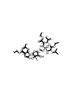 CCOC(=O)[C@H](CC(C)C)NP(=O)(N[C@H](CC(C)C)C(=O)OCC)OC[C@H]1O[C@@H](n2cnc3c(OCC)nc(C)nc32)[C@@](C)(O)C1O